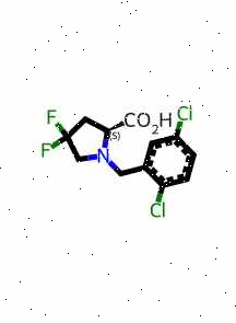 O=C(O)[C@@H]1CC(F)(F)CN1Cc1cc(Cl)ccc1Cl